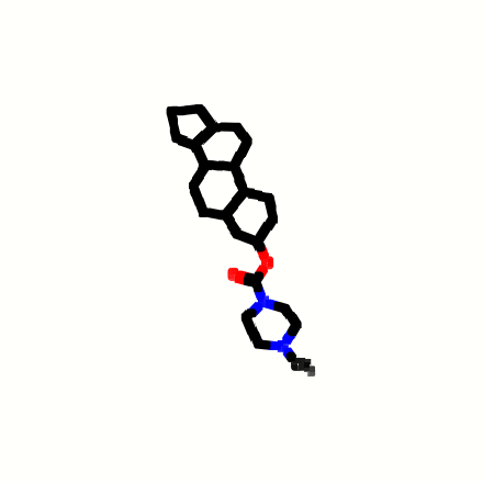 CN1CCN(C(=O)OC2CCC3C(CCC4C5CCCC5CCC34)C2)CC1